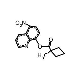 CC1(C(=O)Oc2ccc([N+](=O)[O-])c3cccnc23)CCC1